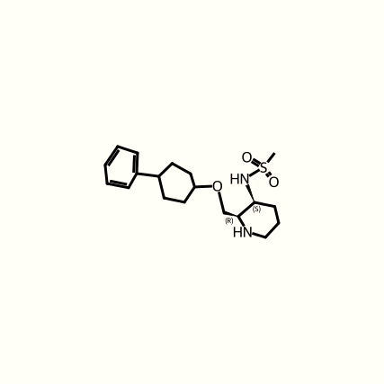 CS(=O)(=O)N[C@H]1CCCN[C@H]1COC1CCC(c2ccccc2)CC1